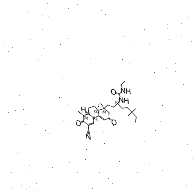 CCNC(=O)N[C@@](C)(CCC(C)(C)CC)CC[C@]1(C)CC(=O)C=C2[C@@]3(C)C=C(C#N)C(=O)[C@@H](C)[C@@H]3CC[C@]21C